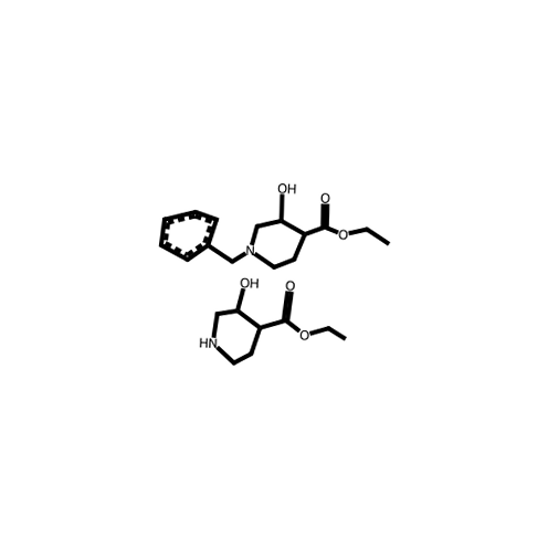 CCOC(=O)C1CCN(Cc2ccccc2)CC1O.CCOC(=O)C1CCNCC1O